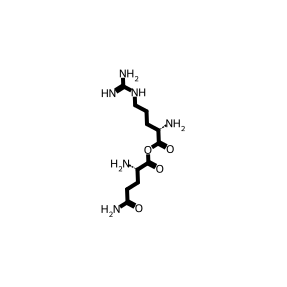 N=C(N)NCCC[C@H](N)C(=O)OC(=O)[C@@H](N)CCC(N)=O